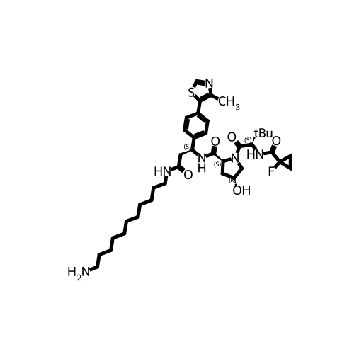 Cc1ncsc1-c1ccc([C@H](CC(=O)NCCCCCCCCCCCN)NC(=O)[C@@H]2C[C@@H](O)CN2C(=O)[C@@H](NC(=O)C2(F)CC2)C(C)(C)C)cc1